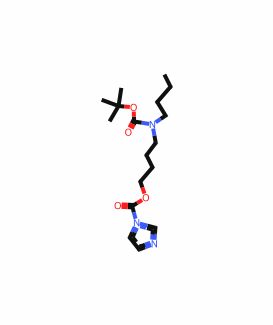 CCCCN(CCCCOC(=O)n1ccnc1)C(=O)OC(C)(C)C